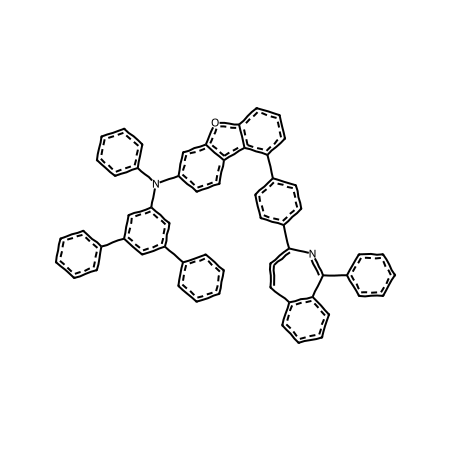 C1=Cc2ccccc2C(c2ccccc2)=NC=1c1ccc(-c2cccc3oc4cc(N(c5ccccc5)c5cc(-c6ccccc6)cc(-c6ccccc6)c5)ccc4c23)cc1